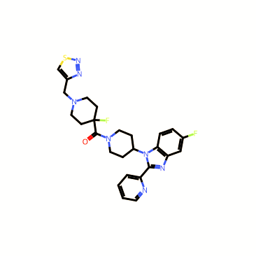 O=C(N1CCC(n2c(-c3ccccn3)nc3cc(F)ccc32)CC1)C1(F)CCN(Cc2csnn2)CC1